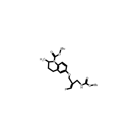 CC1CCc2cc(OC/C(=C\F)CNC(=O)OC(C)(C)C)ccc2N1C(=O)OC(C)(C)C